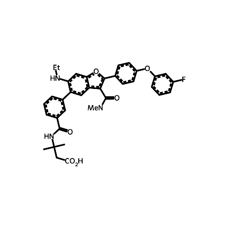 CCNc1cc2oc(-c3ccc(Oc4cccc(F)c4)cc3)c(C(=O)NC)c2cc1-c1cccc(C(=O)NC(C)(C)CC(=O)O)c1